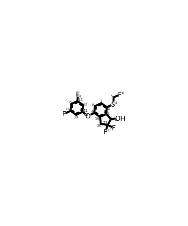 OC1c2c(SCF)ccc(Oc3cc(F)cc(F)c3)c2CC1(F)F